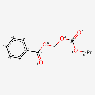 CC(C)OC(=O)OCOC(=O)c1ccccc1